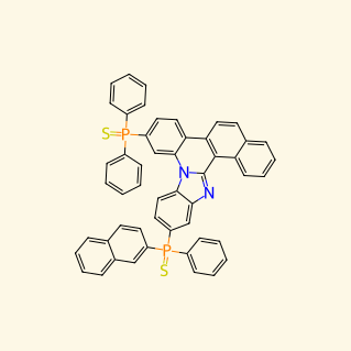 S=P(c1ccccc1)(c1ccc2ccccc2c1)c1ccc2c(c1)nc1c3c4ccccc4ccc3c3ccc(P(=S)(c4ccccc4)c4ccccc4)cc3n21